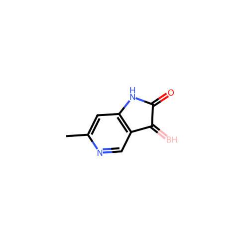 B=C1C(=O)Nc2cc(C)ncc21